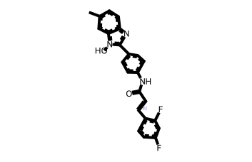 Cc1ccc2nc(-c3ccc(NC(=O)/C=C/c4ccc(F)cc4F)cc3)n(O)c2c1